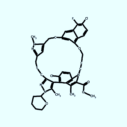 COC(=O)c1c(C)c2c3c(Cl)ccc2n1CCCOc1cc(cc2c(F)c(Cl)ccc12)CCc1cc(nn1C)CSCc1nn(C2CCCCO2)c(C)c1-3